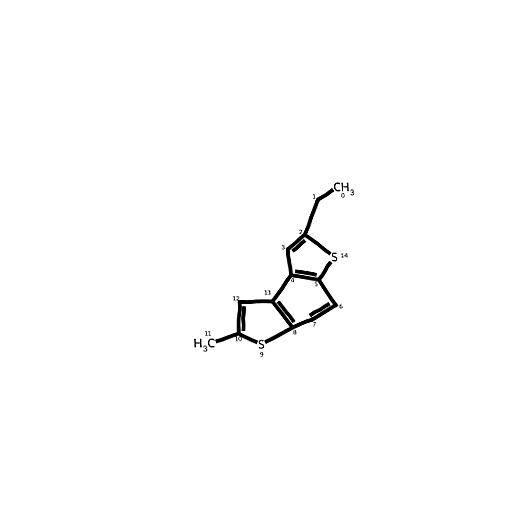 CCc1cc2c(ccc3sc(C)cc32)s1